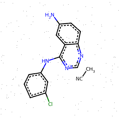 CC#N.Nc1ccc2ncnc(Nc3cccc(Cl)c3)c2c1